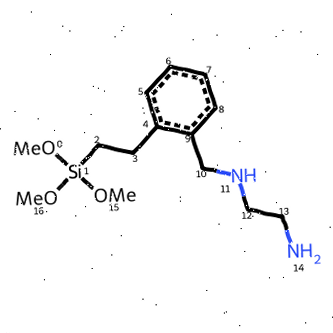 CO[Si](CCc1ccccc1CNCCN)(OC)OC